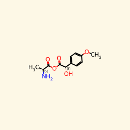 COc1ccc([C@H](O)C(=O)OC(=O)[C@H](C)N)cc1